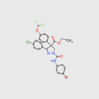 CCOC(=O)C1(c2ccc(OC(F)F)cc2)CN(C(=O)Nc2ccc(Br)cc2)N=C1c1ccc(Cl)cc1